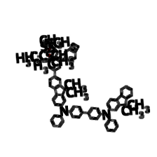 CCCC(C)(SC(=S)SC)C(CC(CC(C)(CCC)C(C)(C)C#N)c1ccc2c(c1)C(C)(C)c1cc(N(c3ccccc3)c3ccc(-c4ccc(N(c5ccccc5)c5ccc6c(c5)C(C)(C)c5ccccc5-6)cc4)cc3)ccc1-2)c1ccc2c(c1)CC2